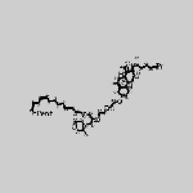 CCCCC/C=C\C/C=C\CCCCCCCCOCC(CN1CCOC[C@@H]1C)OCCOCCO[C@H]1CC[C@@]2(C)C(=CC[C@H]3[C@@H]4CC[C@H]([C@H](C)CCCC(C)C)[C@@]4(C)CC[C@@H]32)C1